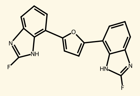 Fc1nc2cccc(-c3ccc(-c4cccc5nc(F)[nH]c45)o3)c2[nH]1